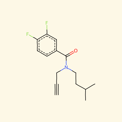 C#CCN(CCC(C)C)C(=O)c1ccc(F)c(F)c1